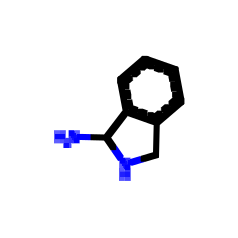 NC1NCc2ccccc21